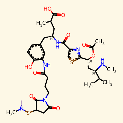 CN[C@H](C[C@@H](OC(C)=O)c1nc(C(=O)N[C@@H](Cc2ccc(O)c(NC(=O)CCCN3C(=O)CC(SN(C)I)C3=O)c2)CC(C)C(=O)O)cs1)C(C)C